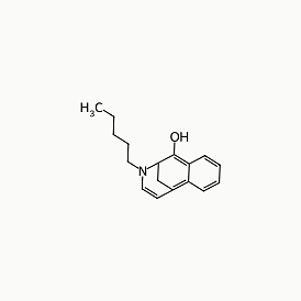 CCCCCN1C=CC2=c3ccccc3=C(O)C1C2